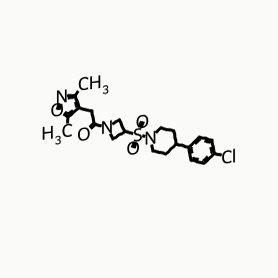 Cc1noc(C)c1CC(=O)N1CC(S(=O)(=O)N2CCC(c3ccc(Cl)cc3)CC2)C1